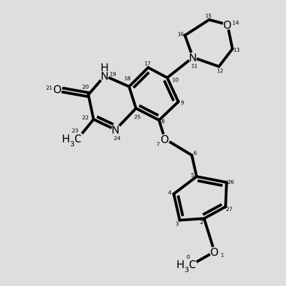 COc1ccc(COc2cc(N3CCOCC3)cc3[nH]c(=O)c(C)nc23)cc1